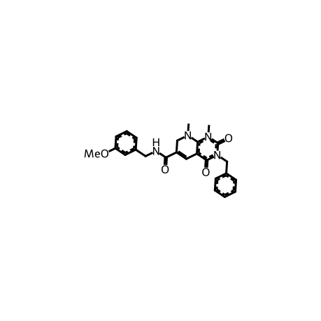 COc1cccc(CNC(=O)C2=Cc3c(n(C)c(=O)n(Cc4ccccc4)c3=O)N(C)C2)c1